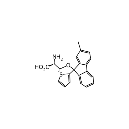 Cc1ccc2c(c1)C(O[C@H](C)[C@H](N)C(=O)O)(c1cccs1)c1ccccc1-2